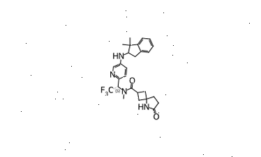 CN(C(=O)C1CC2(CCC(=O)N2)C1)[C@@H](c1ccc(NC2Cc3ccccc3C2(C)C)cn1)C(F)(F)F